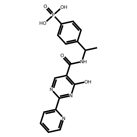 CC(NC(=O)c1cnc(-c2ccccn2)nc1O)c1ccc(P(=O)(O)O)cc1